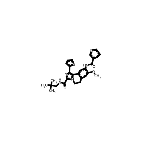 COc1cc2c(cc1NC(=O)c1cccnc1)-c1c(-c3cccs3)nc(C(=O)NCC(C)(C)C)n1CC2